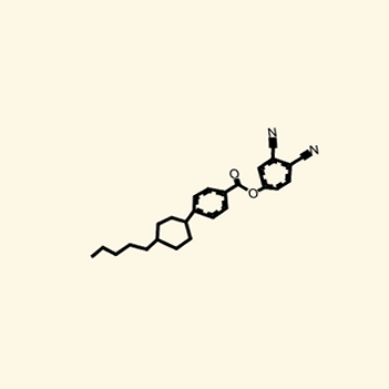 CCCCCC1CCC(c2ccc(C(=O)Oc3ccc(C#N)c(C#N)c3)cc2)CC1